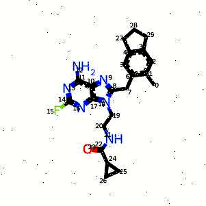 Cc1cc2c(cc1Cc1nc3c(N)nc(F)nc3n1CCNC(=O)C1CC1)CCC2